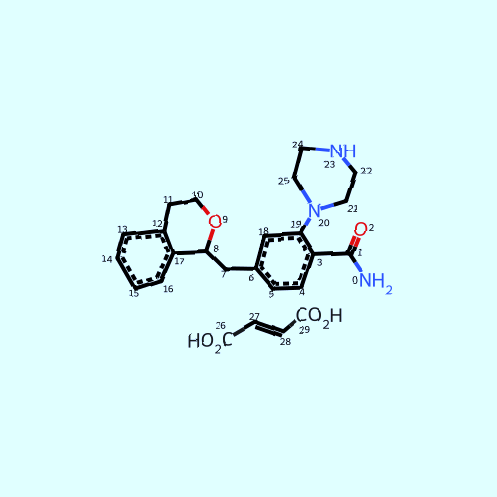 NC(=O)c1ccc(CC2OCCc3ccccc32)cc1N1CCNCC1.O=C(O)C=CC(=O)O